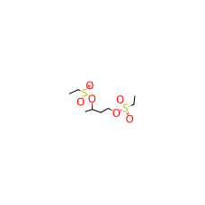 CCS(=O)(=O)OCCC(C)OS(=O)(=O)CC